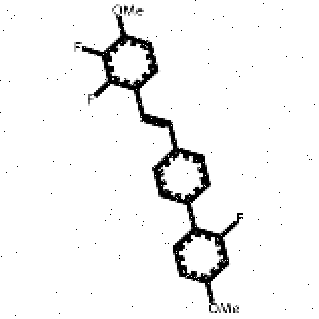 COc1ccc(-c2ccc(/C=C/c3ccc(OC)c(F)c3F)cc2)c(F)c1